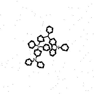 c1ccc(C(c2cccc(S(c3ccccc3)(c3ccccc3)c3ccc(N(c4ccccc4)c4ccccc4)cc3)c2)c2ccc3c(c2)c2ccccc2n3-c2ccccc2)cc1